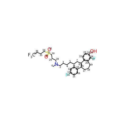 CN(CCCCCCC1=C(c2ccc(F)cc2)CCCc2c1ccc(O)c2F)CCCS(=O)(=O)CCCC(F)(F)F